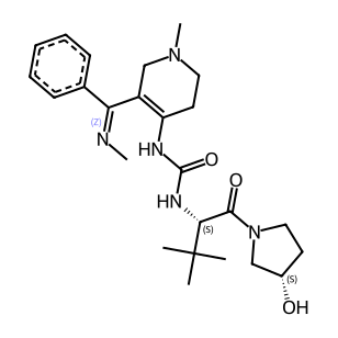 C/N=C(\C1=C(NC(=O)N[C@H](C(=O)N2CC[C@H](O)C2)C(C)(C)C)CCN(C)C1)c1ccccc1